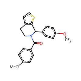 COc1ccc(C(=O)N2CCc3ccsc3C2c2ccc(OC(F)(F)F)cc2)cc1